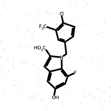 O=C(O)c1cc2cc(O)cc(F)c2n1Cc1ccc(Cl)c(C(F)(F)F)c1